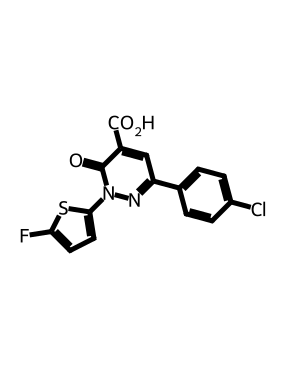 O=C(O)c1cc(-c2ccc(Cl)cc2)nn(-c2ccc(F)s2)c1=O